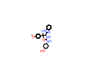 COc1ccc(C(C)(C)C(NC(=O)N[C@H]2CC[C@H](O)CC2)c2nc3ccccc3[nH]2)cc1